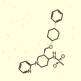 CS(=O)(=O)NC1CCN(c2ccccn2)C[C@H]1CO[C@H]1CC[C@@H](c2ccccc2)CC1